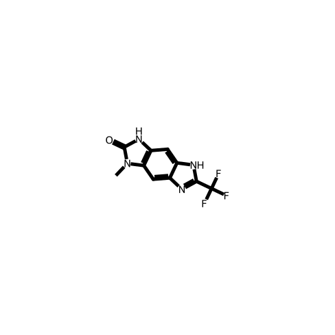 Cn1c(=O)[nH]c2cc3[nH]c(C(F)(F)F)nc3cc21